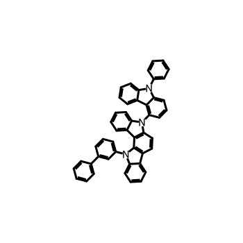 c1ccc(-c2cccc(-n3c4ccccc4c4ccc5c(c6ccccc6n5-c5cccc6c5c5ccccc5n6-c5ccccc5)c43)c2)cc1